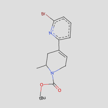 CC1CC(c2cccc(Br)n2)=CCN1C(=O)OC(C)(C)C